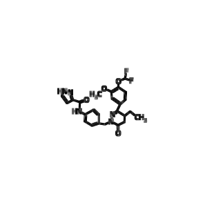 CCC1CC(=O)N(Cc2ccc(NC(=O)c3cc[nH]n3)cc2)N=C1c1ccc(OC(F)F)c(OC)c1